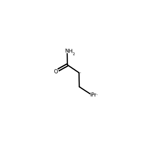 C[C](C)C[CH]C(N)=O